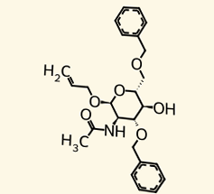 C=CCO[C@H]1O[C@H](COCc2ccccc2)[C@@H](O)[C@H](OCc2ccccc2)[C@H]1NC(C)=O